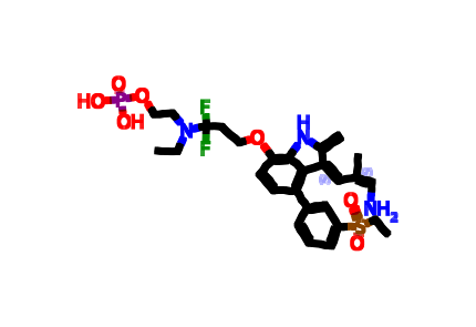 C=c1[nH]c2c(OCCC(F)(F)N(CC)CCOP(=O)(O)O)ccc(-c3cccc(S(=O)(=O)CC)c3)c2/c1=C/C(C)=C\N